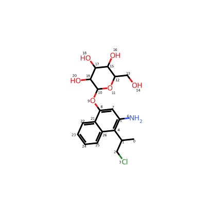 CC(CCl)c1c(N)cc(OC2OC(CO)C(O)C(O)C2O)c2ccccc12